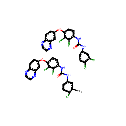 O=C(Nc1ccc(Cl)c(C(F)(F)F)c1)Nc1ccc(Oc2ccc3nccnc3c2)c(F)c1F.O=C(Nc1ccc(Cl)c(F)c1)Nc1ccc(Oc2ccc3nccnc3c2)c(F)c1F